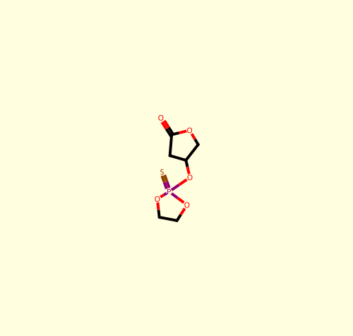 O=C1CC(OP2(=S)OCCO2)CO1